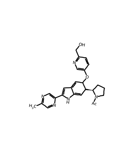 CC(=O)N1CCC[C@@H]1C1C=c2[nH]c(-c3cnc(C)cn3)cc2=CC1Oc1ccc(CO)nc1